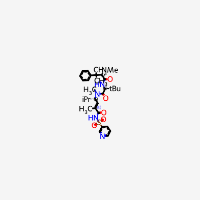 CN[C@H](C(=O)N[C@H](C(=O)N(C)[C@H](/C=C(\C)C(=O)NS(=O)(=O)c1cccnc1)C(C)C)C(C)(C)C)C(C)(C)c1ccccc1